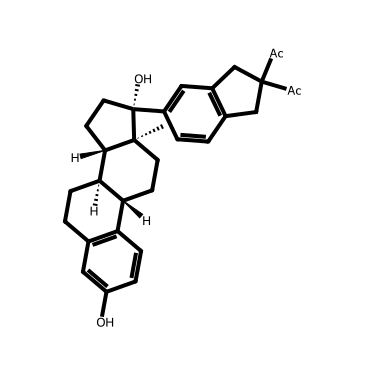 CC(=O)C1(C(C)=O)Cc2ccc([C@]3(O)CC[C@H]4[C@@H]5CCc6cc(O)ccc6[C@H]5CC[C@@]43C)cc2C1